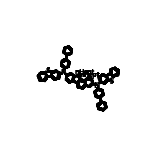 CCCCCCCC1(CCCCCCC)c2cc(N(c3ccc(-c4ccccc4)cc3)c3ccc4c(c3)sc3ccccc34)ccc2-c2ccc3cc(N(c4ccc(-c5ccccc5)cc4)c4ccc5c(c4)sc4ccccc45)ccc3c21